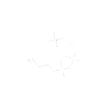 C[Si](C)(C)O[Si](C)(C)O[Si](C)(C)O[Si](C)(C)CCCN